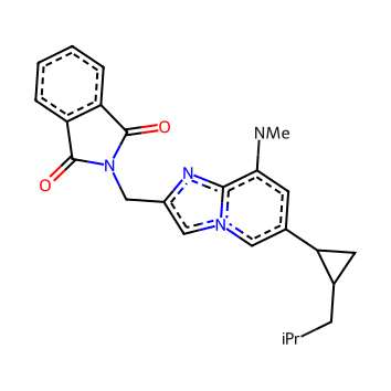 CNc1cc(C2CC2CC(C)C)cn2cc(CN3C(=O)c4ccccc4C3=O)nc12